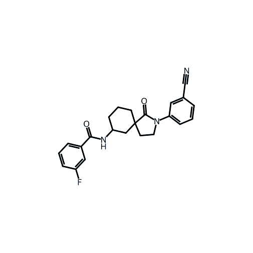 N#Cc1cccc(N2CCC3(CCCC(NC(=O)c4cccc(F)c4)C3)C2=O)c1